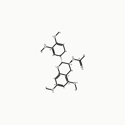 COC1=CCC([C@H]2Oc3cc(OC)cc(OC)c3C[C@@H]2OC(C)=O)C=C1OC